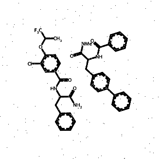 CC(Oc1ccc(C(=O)NC(Cc2ccccc2)C(N)=O)cc1Cl)C(F)(F)F.CNC(=O)C(Cc1ccc(-c2ccccc2)cc1)NC(=O)c1ccccc1